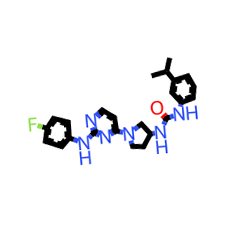 CC(C)c1cccc(NC(=O)NC2CCN(c3ccnc(Nc4ccc(F)cc4)n3)C2)c1